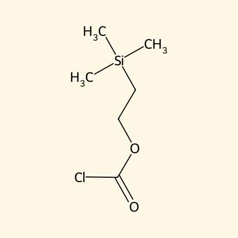 C[Si](C)(C)CCOC(=O)Cl